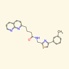 Cc1cccc(-c2csc(CNC(=O)CCCc3ccc4cccnc4n3)n2)c1